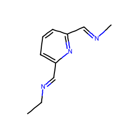 CC/N=C/c1cccc(/C=N/C)n1